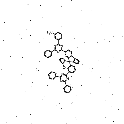 FC(F)(F)c1cccc(-c2nc(-c3ccccc3)nc(-c3ccc4c(c3)C3(c5ccccc5Oc5c(-c6nc(-c7ccccc7)nc(-c7ccccc7)n6)cccc53)c3ccccc3-4)n2)c1